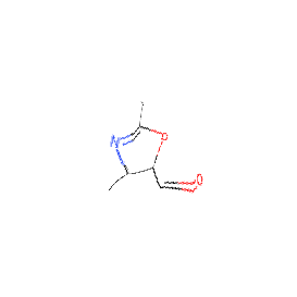 CC1=NC(C)C(C=O)O1